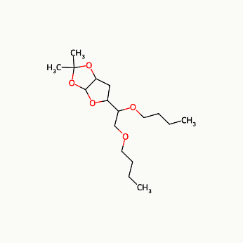 CCCCOCC(OCCCC)C1CC2OC(C)(C)OC2O1